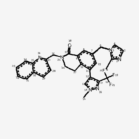 Cc1nccn1Cc1cc2c(c(-c3cn(C)nc3C(F)(F)F)c1)CCN(Cc1ccc3ccccc3n1)C2=O